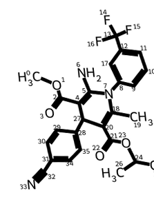 COC(=O)C1=C(N)N(c2cccc(C(F)(F)F)c2)C(C)=C(C(=O)OC(C)C)C1c1ccc(C#N)cc1